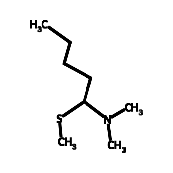 CCCCC(SC)N(C)C